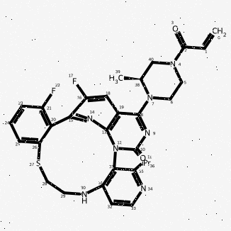 C=CC(=O)N1CCN(c2nc(=O)n3c4nc(c(F)cc24)-c2c(F)cccc2SCCNc2ccnc(C(C)C)c2-3)[C@@H](C)C1